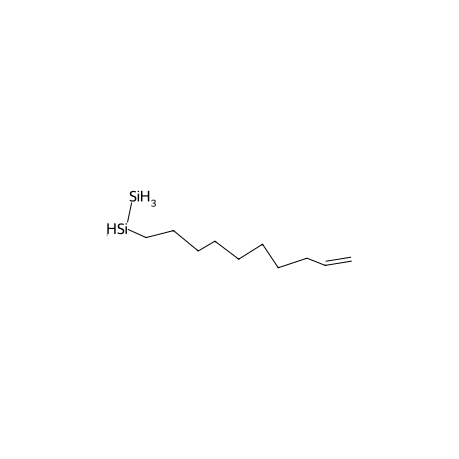 C=CCCCCCCCC[SiH](C)[SiH3]